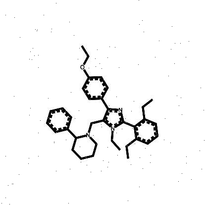 CCOc1ccc(-c2nc(-c3c(CC)cccc3CC)n(CC)c2CN2CCCCC2c2ccccc2)cc1